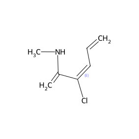 C=C/C=C(/Cl)C(=C)NC